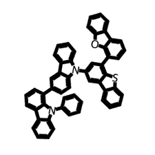 C1=C=c2c(sc3c(-c4cccc5c4oc4ccccc45)cc(-n4c5ccccc5c5cc(-c6cccc7c8ccccc8n(-c8ccccc8)c67)ccc54)cc23)=CC=1